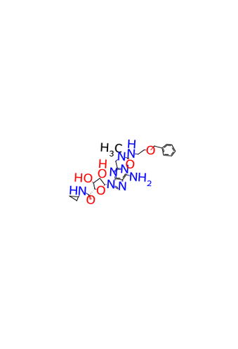 CN(Cc1nc(N)c2ncn([C@@H]3O[C@H](C(=O)NC4CC4)C(O)C3O)c2n1)C(=O)NCCOCc1ccccc1